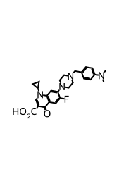 CN(C)c1ccc(CN2CCN(c3cc4c(cc3F)c(=O)c(C(=O)O)cn4C3CC3)CC2)cc1